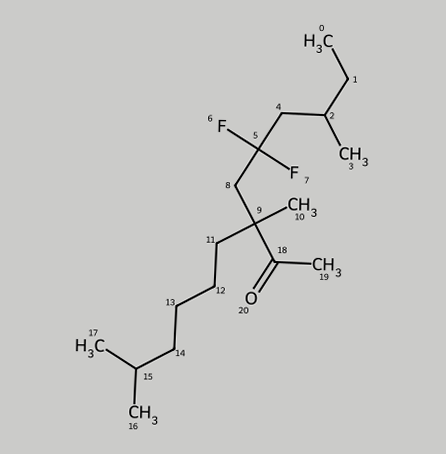 CCC(C)CC(F)(F)CC(C)(CCCCC(C)C)C(C)=O